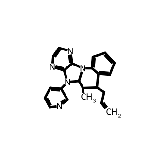 C=CCC1c2ccccc2N2c3nccnc3N(c3cccnc3)C2C1C